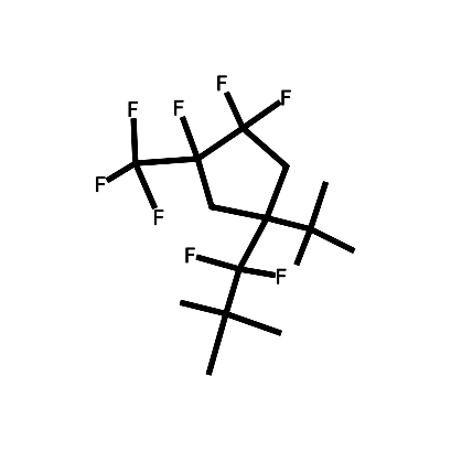 CC(C)(C)C(F)(F)C1(C(C)(C)C)CC(F)(F)C(F)(C(F)(F)F)C1